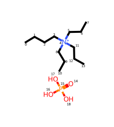 CCCC[N+](CCC)(CCC)CCC.O=P(O)(O)O